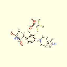 Cc1cc(N2CCC3(CC2)CNC3)ccc1C1CCC(=O)NC1=O.O=C(O)C(F)(F)F